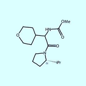 COC(=O)NC(C(=O)N1CCC[C@H]1C(C)C)C1CCOCC1